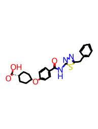 O=C(Nc1nnc(Cc2ccccc2)s1)c1ccc(O[C@H]2CC[C@@H](C(=O)O)CC2)cc1